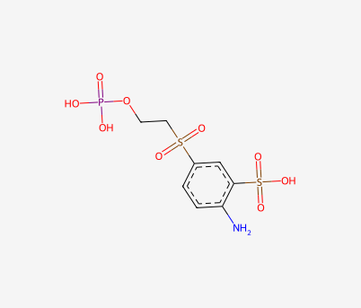 Nc1ccc(S(=O)(=O)CCOP(=O)(O)O)cc1S(=O)(=O)O